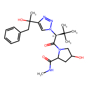 CNC(=O)C1CC(O)CN1C(=O)[C@@H](n1cc(C(C)(O)Cc2ccccc2)nn1)C(C)(C)C